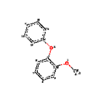 FC(F)(F)Oc1ccccc1Oc1[c]cccc1